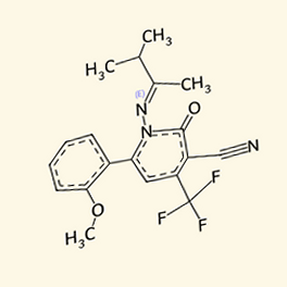 COc1ccccc1-c1cc(C(F)(F)F)c(C#N)c(=O)n1/N=C(\C)C(C)C